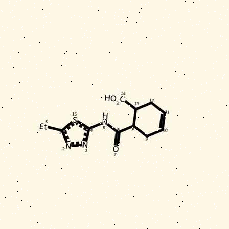 CCc1nnc(NC(=O)C2CC=CCC2C(=O)O)s1